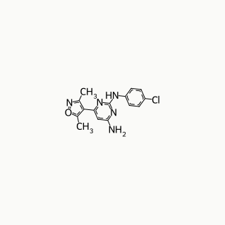 Cc1noc(C)c1-c1cc(N)nc(Nc2ccc(Cl)cc2)n1